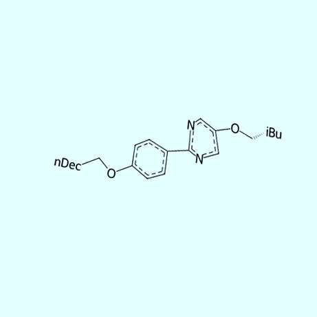 CCCCCCCCCCCOc1ccc(-c2ncc(OC[C@@H](C)CC)cn2)cc1